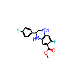 COC(=O)c1cc2c(cc1F)NCC(c1ccc(F)cc1)N2